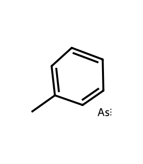 Cc1ccccc1.[As]